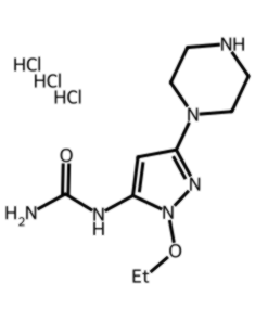 CCOn1nc(N2CCNCC2)cc1NC(N)=O.Cl.Cl.Cl